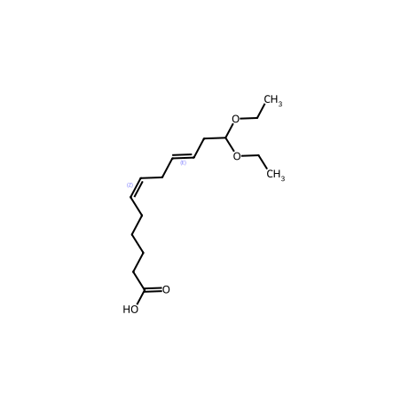 CCOC(C/C=C/C/C=C\CCCCC(=O)O)OCC